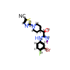 N#Cc1cnc(N2CCC(C(=O)/C(=N/I)Nc3ccc(F)c(Br)c3)CC2)s1